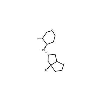 C[C@@H]1COCC[C@H]1N[C@@H]1C[C]2CCC[C@@H]2C1